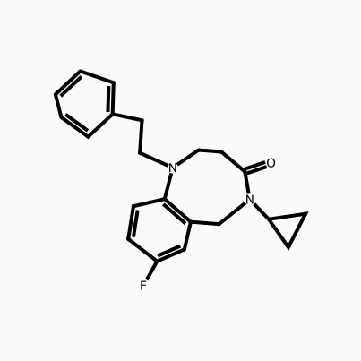 O=C1CCN(CCc2ccccc2)c2ccc(F)cc2CN1C1CC1